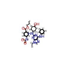 CCCOC(=O)c1ccc(N=S(=O)=O)cc1.CCn1cnc2c(Nc3ccccc3)nc(NC3CCC(O)CC3)nc21